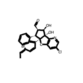 C=C(/C=C\C(Br)=C/C)[C@@]12Oc3cc(Cl)cnc3[C@]1(O)[C@H](O)[C@H](C=O)[C@H]2c1ccccc1